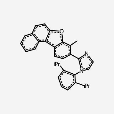 Cc1c(-c2nccn2-c2c(C(C)C)cccc2C(C)C)ccc2c1oc1ccc3ccccc3c12